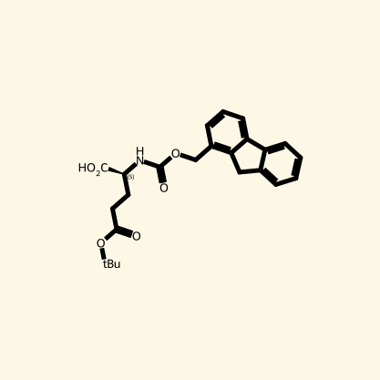 CC(C)(C)OC(=O)CC[C@H](NC(=O)OCc1cccc2c1Cc1ccccc1-2)C(=O)O